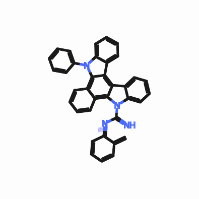 C=C1C=CC=C/C1=N/C(=N)n1c2ccccc2c2c3c4ccccc4n(-c4ccccc4)c3c3ccccc3c21